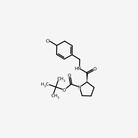 CC(C)(C)OC(=O)N1CCC[C@@H]1C(=O)NCC1=CCC(Cl)C=C1